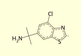 CC(C)(N)c1cc(Cl)c2n[c]sc2c1